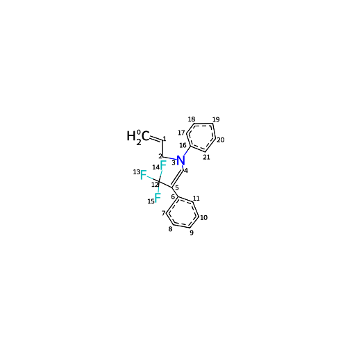 C=CCN(/C=C(/c1ccccc1)C(F)(F)F)c1ccccc1